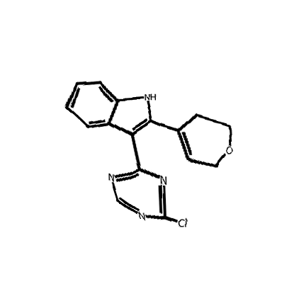 Clc1ncnc(-c2c(C3=CCOCC3)[nH]c3ccccc23)n1